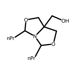 CCCC1OCC2(CO)COC(CCC)N12